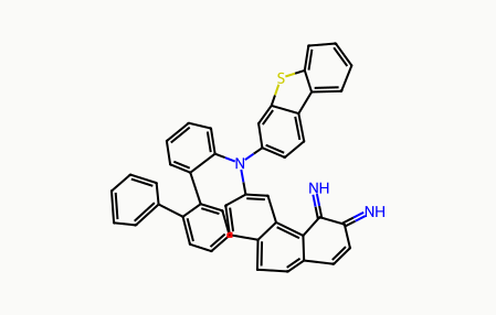 N=C1C=Cc2ccc3ccc(N(c4ccc5c(c4)sc4ccccc45)c4ccccc4-c4ccccc4-c4ccccc4)cc3c2C1=N